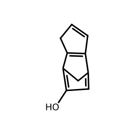 OC1=C2CC(=C1)C1=C2CC=C1